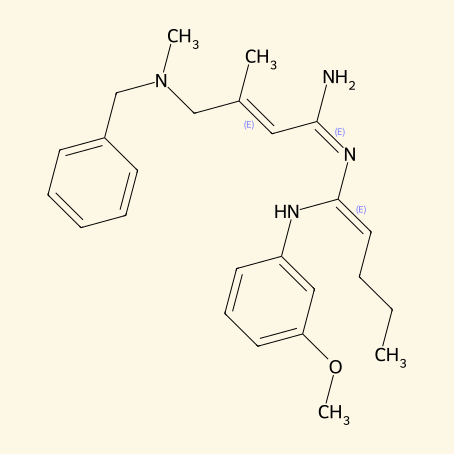 CCC/C=C(/N=C(N)\C=C(/C)CN(C)Cc1ccccc1)Nc1cccc(OC)c1